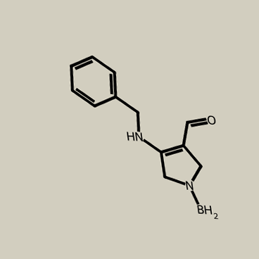 BN1CC(C=O)=C(NCc2ccccc2)C1